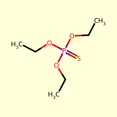 CCOP(=S)(OCC)OCC